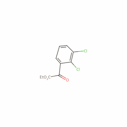 CCOC(=O)C(=O)c1cccc(Cl)c1Cl